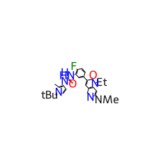 CCn1c(=O)c(-c2ccc(F)c(NC(=O)Nc3ccn(C(C)(C)C)c3C)c2)cc2cnc(NC)cc21